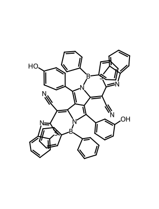 N#C/C(c1nc2ccccc2s1)=c1\c2c(-c3cccc(O)c3)n(B(c3ccccc3)c3ccccc3)/c(=C(/C#N)c3nc4ccccc4s3)c2c(-c2ccc(O)cc2)n1B(c1ccccc1)c1ccccc1